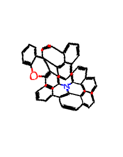 c1ccc(-c2ccc3ccccc3c2N(c2ccc3c(c2)C2(c4ccccc4O3)c3ccccc3-c3cccc4cccc2c34)c2cccc3ccccc23)cc1